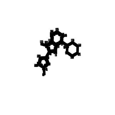 Cn1cc(-c2nc3c(N4CCCCC4)ncnc3n2C)cn1